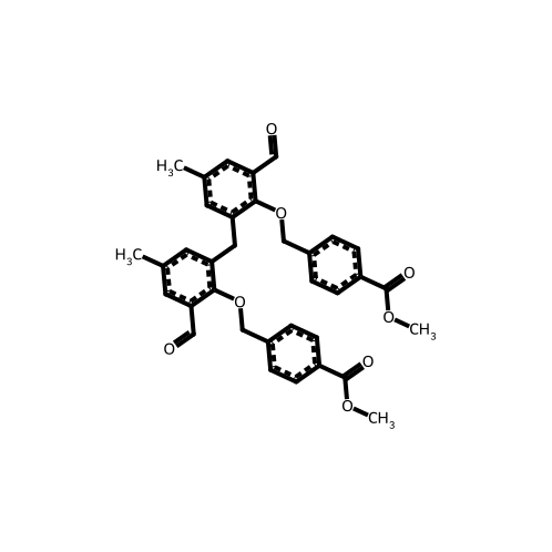 COC(=O)c1ccc(COc2c(C=O)cc(C)cc2Cc2cc(C)cc(C=O)c2OCc2ccc(C(=O)OC)cc2)cc1